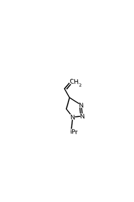 C=CC1CN(C(C)C)N=N1